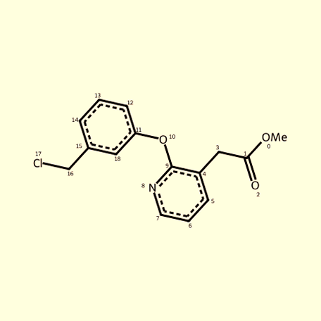 COC(=O)Cc1cccnc1Oc1cccc(CCl)c1